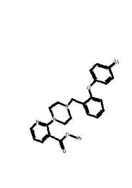 CC(C)OC(=O)c1cccnc1N1CCN(Cc2ccccc2Oc2ccc(Cl)cc2)CC1